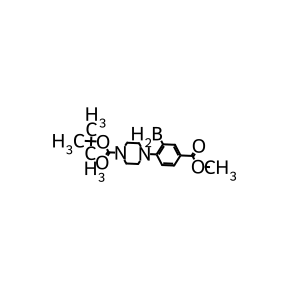 Bc1cc(C(=O)OC)ccc1N1CCN(C(=O)OC(C)(C)C)CC1